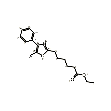 CCOC(=O)CCCCCc1nc(-c2ccccc2)c(C)o1